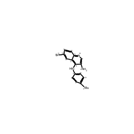 CC(C)(C)c1ccc(Nc2c(N)cnc3ccc(Br)cc23)cc1